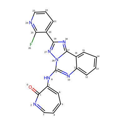 O=c1nccccc1Nc1nc2ccccc2c2nc(-c3cccnc3F)nn12